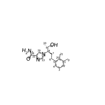 Cc1cccc(CC[C@H]([C@H](C)O)n2cnc(C(N)=O)c2)c1C